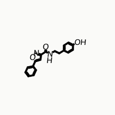 O=C(NCCc1ccc(O)cc1)c1cc(-c2ccccc2)on1